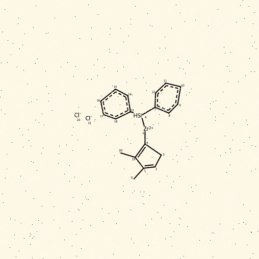 CC1=CC[C]([Zr+2][SiH](c2ccccc2)c2ccccc2)=C1C.[Cl-].[Cl-]